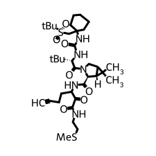 C#CCCC(NC(=O)[C@@H]1[C@@H]2C(CN1C(=O)[C@@H](NC(=O)NC1(CS(=O)(=O)C(C)(C)C)CCCCC1)C(C)(C)C)C2(C)C)C(=O)C(=O)NCCSC